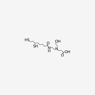 O=C(O)CCN(CCO)CCNC(=O)CCCCC(S)CCS